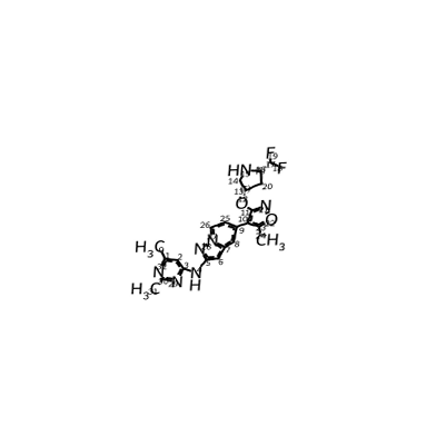 Cc1cc(Nc2cc3cc(-c4c(O[C@@H]5CN[C@H](C(F)F)C5)noc4C)ccn3n2)nc(C)n1